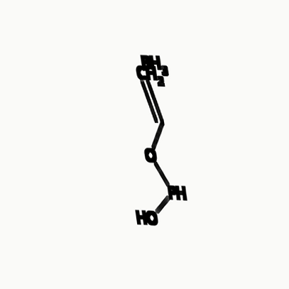 B.C=COPO